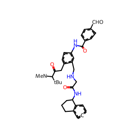 CNC(C(=O)Cc1ccc(NC(=O)c2ccc(C=O)cc2)cc1CNCC(=O)NC1CCCc2ccccc21)C(C)(C)C